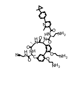 Cc1nc(-c2ccc(C3(C)CC3)cc2)ccc1C(=O)N[C@@H](CCN)C(=O)N(C)[C@@H]1C(=O)N[C@@H](C)C(=O)N[C@H](C(=O)NCC#N)Cc2ccc(OCCN)c(c2)-c2cc1ccc2OCCN